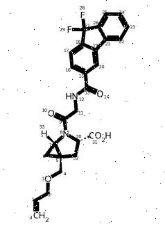 C=CCOC[C@@]12C[C@@H]1N(C(=O)CNC(=O)c1ccc3c(c1)-c1ccccc1C3(F)F)[C@H](C(=O)O)C2